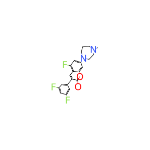 CN1CCCN(c2cc(F)c3cc(-c4cc(F)cc(F)c4)c(=O)oc3c2)CC1